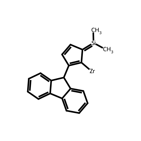 C[Si](C)=C1C=CC(C2c3ccccc3-c3ccccc32)=[C]1[Zr]